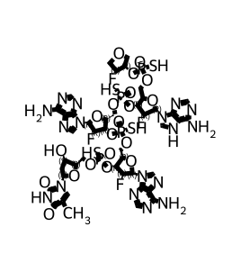 Cc1cn([C@H]2C[C@H](O)[C@@H](COP(=O)(S)O[C@H]3[C@@H](F)[C@H](n4cnc5c(N)ncnc54)O[C@@H]3COP(=O)(S)O[C@H]3[C@@H](F)[C@H](n4cnc5c(N)ncnc54)O[C@@H]3COP(=O)(S)O[C@@H]3C(COP(=O)(S)O[C@@H]4COC[C@@H]4F)O[C@@H](N4CNc5c(N)ncnc54)[C@@H]3F)O2)c(=O)[nH]c1=O